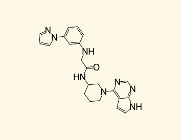 O=C(CNc1cccc(-n2cccn2)c1)NC1CCCN(c2ncnc3[nH]ccc23)C1